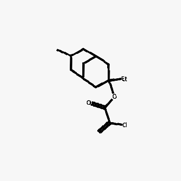 C=C(Cl)C(=O)OC1(CC)CC2CC(C)CC(C2)C1